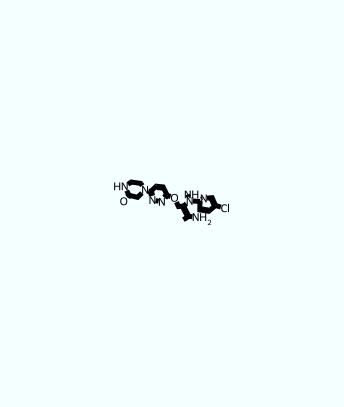 C/C(N)=C(\COc1ccc(N2CCNC(=O)C2)nn1)N(N)c1ccc(Cl)cn1